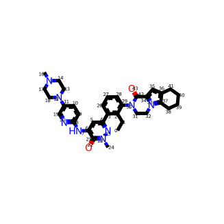 CCc1c(-c2cc(Nc3ccc(N4CCN(C)CC4)cn3)c(=O)n(C)n2)cccc1N1CCn2c(cc3c2CCCC3)C1=O